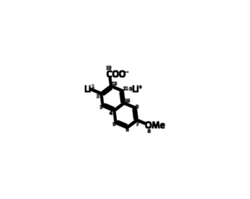 [Li+].[Li][c]1cc2ccc(OC)cc2cc1C(=O)[O-]